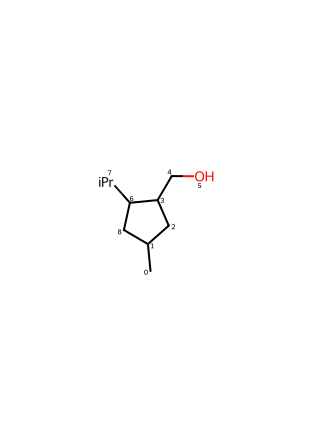 CC1CC(CO)C(C(C)C)C1